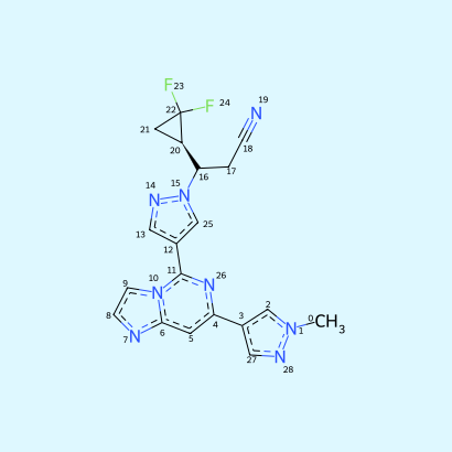 Cn1cc(-c2cc3nccn3c(-c3cnn(C(CC#N)[C@H]4CC4(F)F)c3)n2)cn1